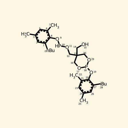 CCCCc1cc(C)cc(C)c1OPOCC1(CO)COP(Oc2c(C)cc(C)cc2C(C)CC)OC1